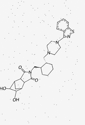 O=C1C2C3CC(C(O)C3O)C2C(=O)N1C[C@@H]1CCCC[C@H]1CN1CCN(c2nsc3ccccc23)CC1